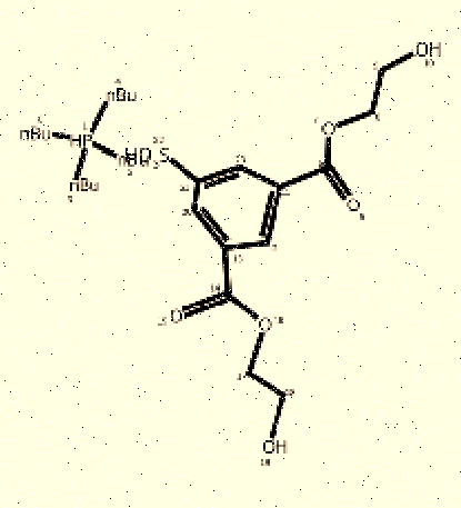 CCCC[PH](CCCC)(CCCC)CCCC.O=C(OCCO)c1cc(C(=O)OCCO)cc(S(=O)(=O)O)c1